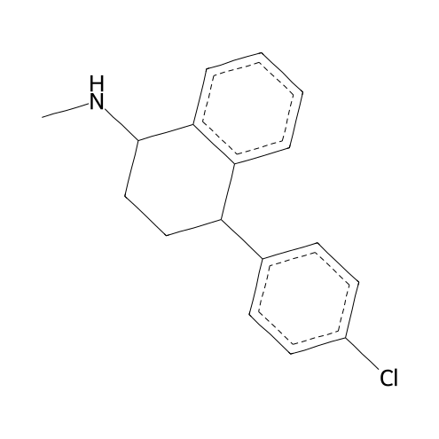 CNC1CCC(c2ccc(Cl)cc2)c2ccccc21